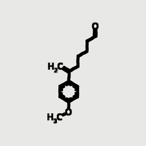 C=C(CCCCC=O)c1ccc(OC)cc1